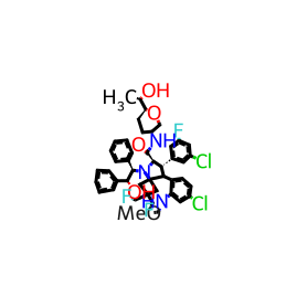 COCNc1cc(Cl)ccc1C1[C@@H](c2cc(F)cc(Cl)c2)[C@H](C(=O)N[C@@H]2CC[C@@H]([C@@H](C)O)OC2)N([C@H](c2ccccc2)[C@@H](O)c2ccccc2)C12CC(CF)(CF)C2